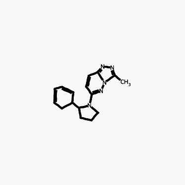 Cc1nnc2ccc(N3CCCC3C3C=CC=CC3)nn12